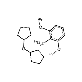 C1CCC(OC2CCCC2)C1.CC(C)Oc1cccc(OC(C)C)c1C(=O)O